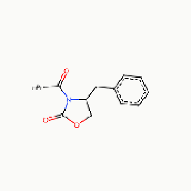 CCCC(=O)N1C(=O)OCC1Cc1ccccc1